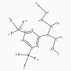 COC(C)C(c1cc(C(F)(F)F)cc(C(F)(F)F)c1)C(C)OCI